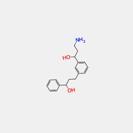 NCCC(O)c1cccc(CCC(O)c2ccccc2)c1